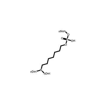 CCCCCCCCCCN(CCCCCCCCCC)CCCCCCCOP(=O)(O)OCCCCCCCCC